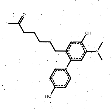 CC(=O)CCCCCc1cc(O)c(N(C)C)cc1-c1ccc(O)cc1